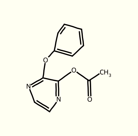 CC(=O)Oc1nccnc1Oc1ccccc1